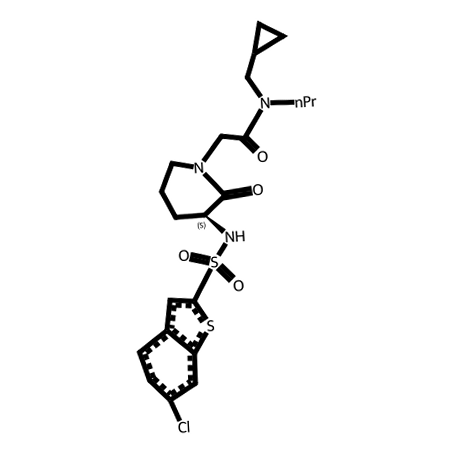 CCCN(CC1CC1)C(=O)CN1CCC[C@H](NS(=O)(=O)c2cc3ccc(Cl)cc3s2)C1=O